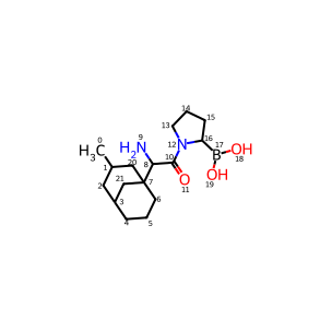 CC1CC2CCCC(C(N)C(=O)N3CCCC3B(O)O)(C1)C2